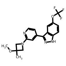 COC1(C)CN(c2cc(-c3n[nH]c4ccc(OC(F)(F)F)cc34)ccn2)C1